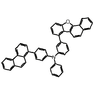 c1ccc(N(c2ccc(-c3cccc4c3ccc3ccccc34)cc2)c2cccc(-c3cccc4oc5c6ccccc6ccc5c34)c2)cc1